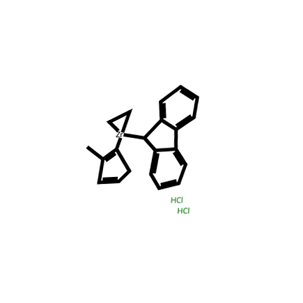 CC1=[C]([Zr]2([CH]3c4ccccc4-c4ccccc43)[CH2][CH2]2)CC=C1.Cl.Cl